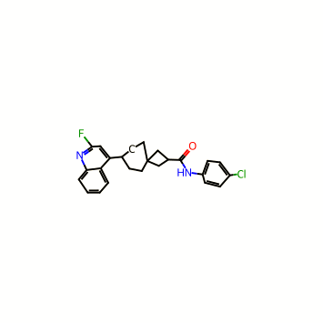 O=C(Nc1ccc(Cl)cc1)C1CC2(CCC(c3cc(F)nc4ccccc34)CC2)C1